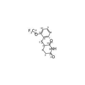 O=C1CCC(Sc2ccccc2OC(F)(F)F)C(=O)N1